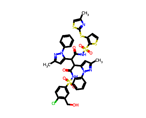 Cc1csc(Sc2ccsc2S(=O)(=O)NC(=O)C(c2cc(C)nn2-c2ccccc2)C(C(=O)NS(=O)(=O)c2ccc(Cl)c(CO)c2)c2cc(C)nn2-c2ccccc2)n1